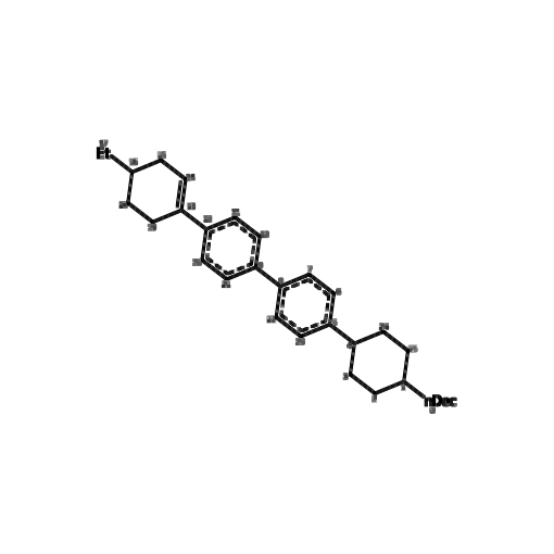 CCCCCCCCCCC1CCC(c2ccc(-c3ccc(C4=CCC(CC)CC4)cc3)cc2)CC1